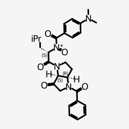 CC(C)C[C@@H](C(=O)N1CC[C@@H]2[C@H]1C(=O)CN2C(=O)c1ccccc1)[N+](=O)C(=O)c1ccc(N(C)C)cc1